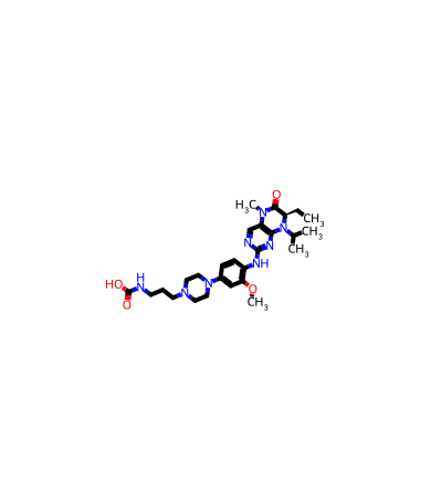 CC[C@@H]1C(=O)N(C)c2cnc(Nc3ccc(N4CCN(CCCNC(=O)O)CC4)cc3OC)nc2N1C(C)C